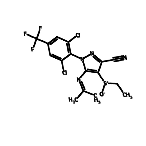 CC[S+]([O-])c1c(C#N)nn(-c2c(Cl)cc(C(F)(F)F)cc2Cl)c1N=C(C)C